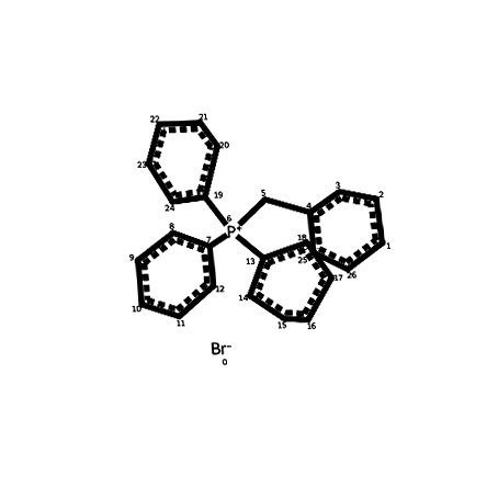 [Br-].c1ccc(C[P+](c2ccccc2)(c2ccccc2)c2ccccc2)cc1